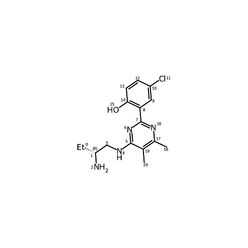 CC[C@@H](N)CNc1nc(-c2cc(Cl)ccc2O)nc(C)c1C